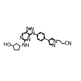 N#CCCn1cc(-c2ccc(-n3nnc4cnc(N[C@@H]5CC[C@@H](O)C5)nc43)cc2)cn1